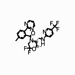 Cc1ccc(-c2ncccn2)c(C(=O)N2CC(F)(F)O[C@@H](C)[C@H]2CNc2ccc(C(F)(F)F)cn2)c1